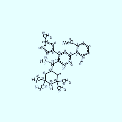 COc1cccc(F)c1-c1cc(-c2cnn(C)c2)c(N(C)C2CC(C)(C)NC(C)(C)C2)nn1